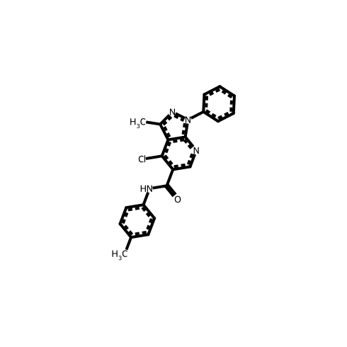 Cc1ccc(NC(=O)c2cnc3c(c(C)nn3-c3ccccc3)c2Cl)cc1